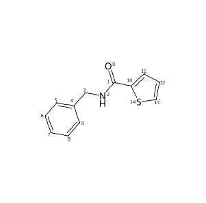 O=C(NCc1ccccc1)c1cc[c]s1